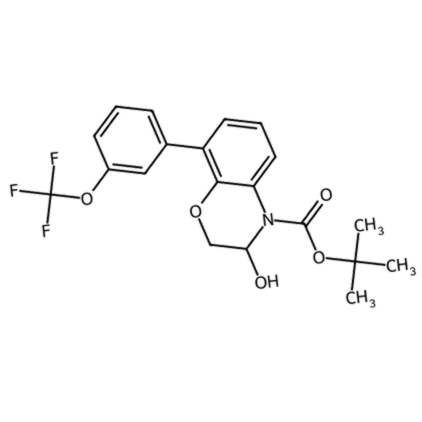 CC(C)(C)OC(=O)N1c2cccc(-c3cccc(OC(F)(F)F)c3)c2OCC1O